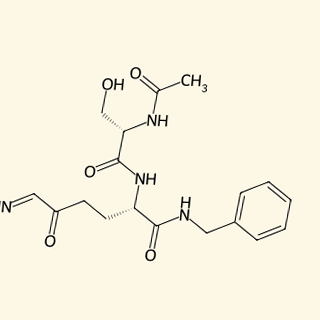 CC(=O)N[C@@H](CO)C(=O)N[C@@H](CCC(=O)C=N)C(=O)NCc1ccccc1